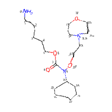 NCCCCCOC(=O)N(OCCN1CCOCC1)C1CCCCC1